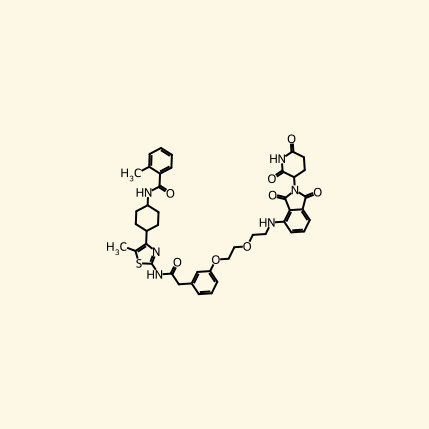 Cc1ccccc1C(=O)NC1CCC(c2nc(NC(=O)Cc3cccc(OCCOCCNc4cccc5c4C(=O)N(C4CCC(=O)NC4=O)C5=O)c3)sc2C)CC1